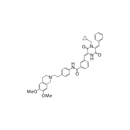 COc1cc2c(cc1OC)CN(CCc1ccc(NC(=O)c3cccc(C=c4[nH]c(=O)c(=Cc5ccccc5)n(CC5CC5)c4=O)c3)cc1)CC2